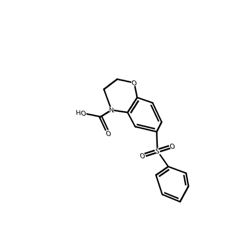 O=C(O)N1CCOc2ccc(S(=O)(=O)c3ccccc3)cc21